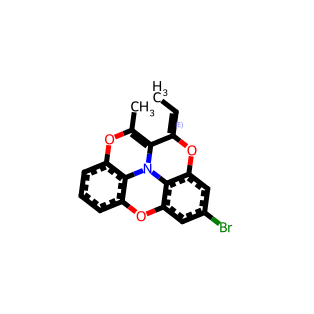 C/C=C1/Oc2cc(Br)cc3c2N2C1=C(C)Oc1cccc(c12)O3